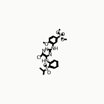 COc1ccc(P(=O)(OC)OC)cc1Nc1nnc(Cl)c(Nc2ccccc2S(=O)(=O)C(C)C)n1